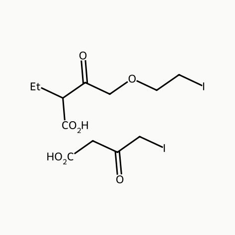 CCC(C(=O)O)C(=O)COCCI.O=C(O)CC(=O)CI